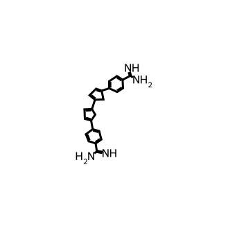 N=C(N)c1ccc(C2=CC=C(C3=CC=C(c4ccc(C(=N)N)cc4)C3)C2)cc1